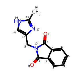 O=C1c2ccccc2C(=O)N1Cc1c[nH]c(C(F)(F)F)n1